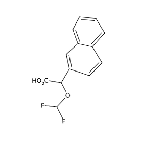 O=C(O)C(OC(F)F)c1ccc2ccccc2c1